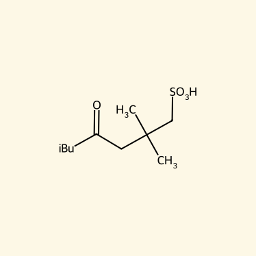 CCC(C)C(=O)CC(C)(C)CS(=O)(=O)O